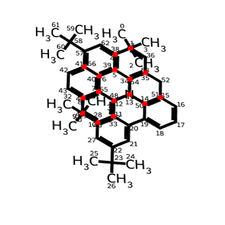 CC(C)(C)c1cc(-c2ccccc2N(c2ccccc2-c2cc(C(C)(C)C)cc(C(C)(C)C)c2)c2ccccc2-c2cccc3cccc(C4CCCCC4)c23)cc(C(C)(C)C)c1